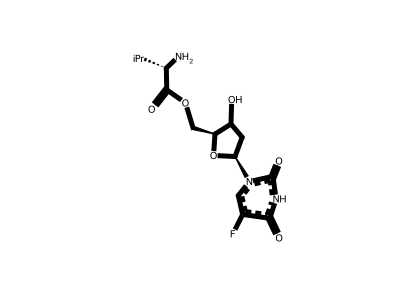 CC(C)[C@H](N)C(=O)OC[C@@H]1O[C@H](n2cc(F)c(=O)[nH]c2=O)CC1O